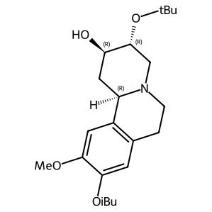 COc1cc2c(cc1OCC(C)C)CCN1C[C@@H](OC(C)(C)C)[C@H](O)C[C@H]21